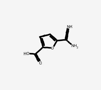 N=C(N)c1ccc(C(=O)O)o1